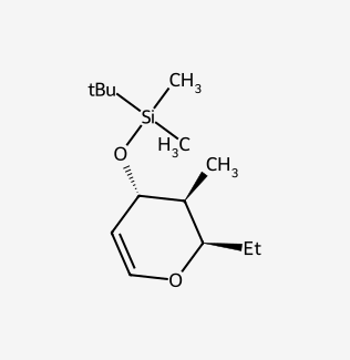 CC[C@H]1OC=C[C@H](O[Si](C)(C)C(C)(C)C)[C@H]1C